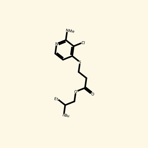 CCCCC(CC)COC(=O)CCSc1ccnc(NC)c1Cl